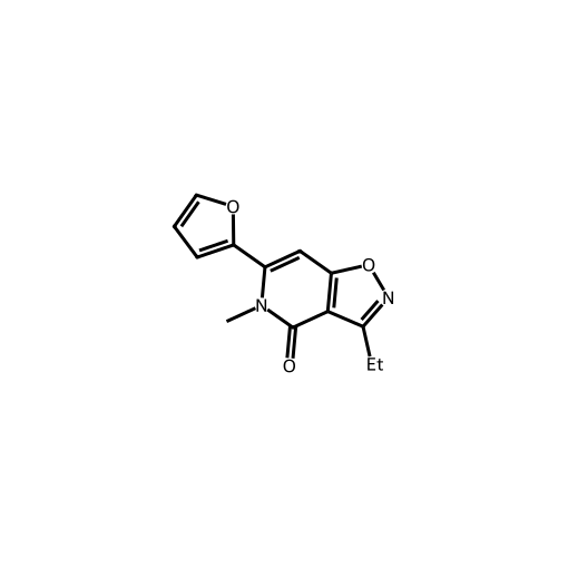 CCc1noc2cc(-c3ccco3)n(C)c(=O)c12